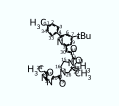 Cc1ccc(-c2cc(C(C)(C)C)c3oc(C(=O)N4CCN(C(=O)c5nnc(C)o5)CC4(C)C)cc3n2)cc1